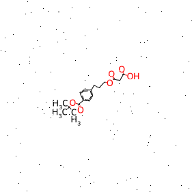 CC(C)(C)OC(=O)c1ccc(CCCOC(=O)CC(=O)O)cc1